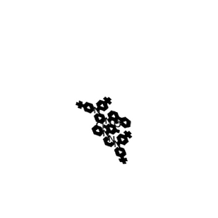 Cc1cc(N(c2ccccc2)c2cccc(N(c3ccc(C(C)(C)C)cc3)c3ccc(C(C)(C)C)cc3)n2)c(Cl)c(N(c2cccc(N(c3ccc(C(C)(C)C)cc3)c3ccc(C(C)(C)C)cc3)c2)c2cccc3c2oc2ccccc23)c1